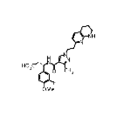 COc1ccc([C@H](CC(=O)O)NC(=O)c2cn(CCc3ccc4c(n3)NCCC4)nc2C)cc1F